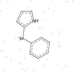 c1ccc([Se]c2ccc[nH]2)cc1